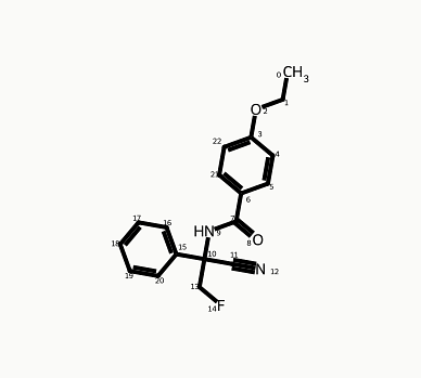 CCOc1ccc(C(=O)NC(C#N)(CF)c2ccccc2)cc1